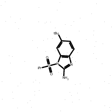 CC(C)S(=O)(=O)n1c(N)nc2ccc(C(C)(C)C)cc21